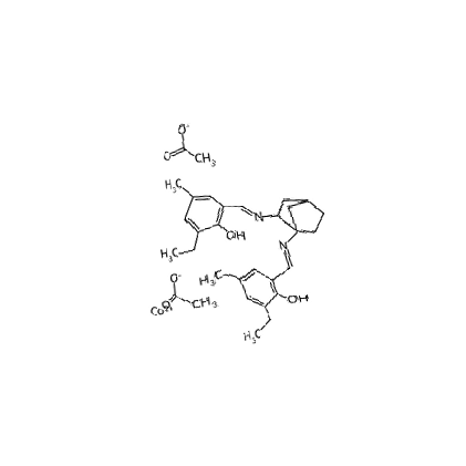 CC(=O)[O-].CC(=O)[O-].CCc1cc(C)cc(C=NC2CC3CCC2(N=Cc2cc(C)cc(CC)c2O)C3)c1O.[Co+2]